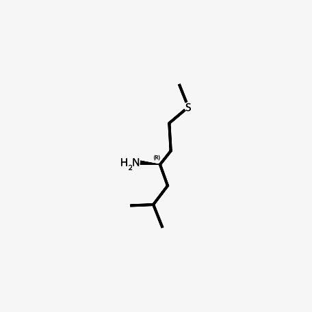 CSCC[C@H](N)CC(C)C